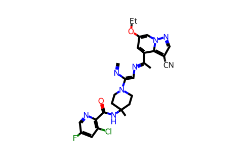 C=N/C(=C\N=C(/C)c1cc(OCC)cn2ncc(C#N)c12)N1CCC(C)(NC(=O)c2ncc(F)cc2Cl)CC1